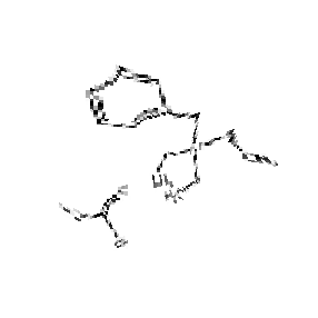 CC[N+](CC)(CC)Cc1ccccc1.O=C(O)O